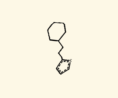 c1csc(CCC2CCCCC2)c1